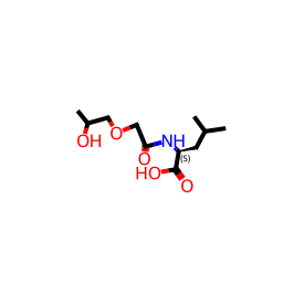 CC(C)C[C@H](NC(=O)COCC(C)O)C(=O)O